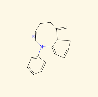 C=C1CC/C=C\N(c2ccccc2)C2=CC=CCC12